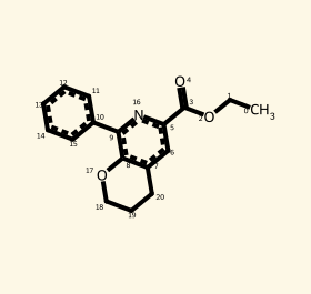 CCOC(=O)c1cc2c(c(-c3ccccc3)n1)OCCC2